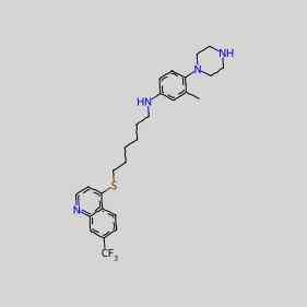 Cc1cc(NCCCCCCSc2ccnc3cc(C(F)(F)F)ccc23)ccc1N1CCNCC1